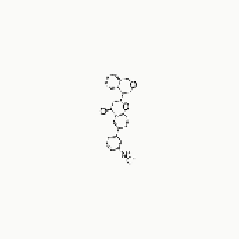 [C-]#[N+]c1cccc(-c2ccc3c(c2)C(=O)CC(C2COCc4ccccc42)O3)c1